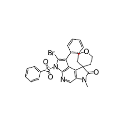 CN1C(=O)C2(CCOCC2)c2c1cnc1c2c(-c2ccccc2)c(Br)n1S(=O)(=O)c1ccccc1